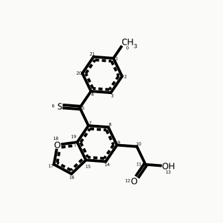 Cc1ccc(C(=S)c2cc(CC(=O)O)cc3ccoc23)cc1